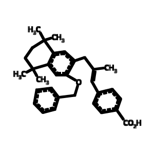 CC(=Cc1ccc(C(=O)O)cc1)Cc1cc2c(cc1OCc1ccccc1)C(C)(C)CCC2(C)C